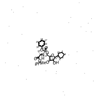 COC1C(O)C(C2CCCCC2)O[C@@H]1COP(=O)(N[C@@H](C)C(=O)OC(C)C)Oc1ccccc1